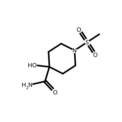 CS(=O)(=O)N1CCC(O)(C(N)=O)CC1